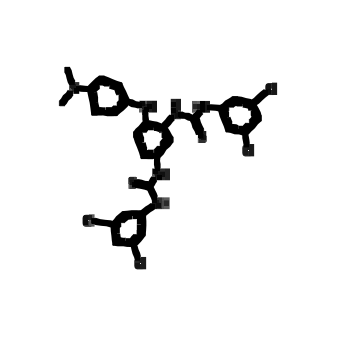 CN(C)c1ccc(Nc2ccc(NC(=S)Nc3cc(Cl)cc(Cl)c3)cc2NC(=S)Nc2cc(Cl)cc(Cl)c2)cc1